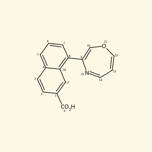 O=C(O)c1ccc2cccc(C3=COC=CC=N3)c2c1